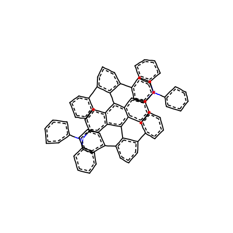 c1ccc(-c2cccc(-c3ccccc3)c2-c2c3ccc(N(c4ccccc4)c4ccccc4)cc3c(-c3c(-c4ccccc4)cccc3-c3ccccc3)c3ccc(N(c4ccccc4)c4ccccc4)cc23)cc1